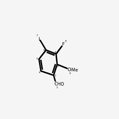 COc1c(C=O)ccc(I)c1F